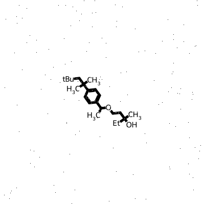 CCC(C)(O)CCOC(C)c1ccc(C(C)(C)CC(C)(C)C)cc1